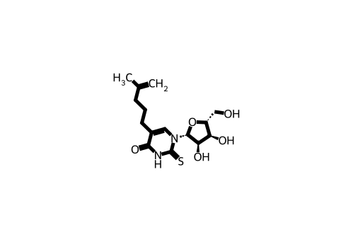 C=C(C)CCCc1cn([C@@H]2O[C@H](CO)[C@@H](O)[C@H]2O)c(=S)[nH]c1=O